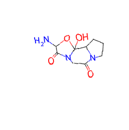 NC1OC2(O)C3CCCN3C(=O)CN2C1=O